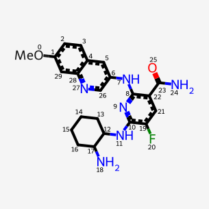 COc1ccc2cc(Nc3nc(NC4CCCCC4N)c(F)cc3C(N)=O)cnc2c1